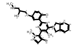 CNCC(O)COc1ccc(Cl)c(-c2nc(-c3c(Br)cnn3C)c(C)c(N3Cc4cccnc4C3)n2)c1